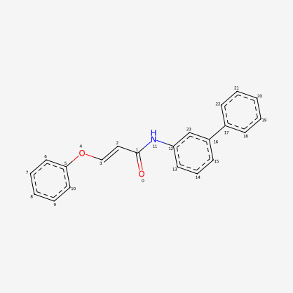 O=C(C=COc1ccccc1)Nc1cccc(-c2ccccc2)c1